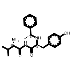 CC(C)[C@H](N)C(=O)NC(=O)[C@H](Cc1ccc(O)cc1)N[C@H](C)c1ccccc1